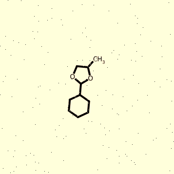 CC1COC(C2CCCCC2)O1